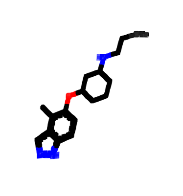 COCCNC1CCCC(Oc2ccc3[nH]ncc3c2C)C1